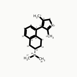 CC1=NCC(C)=C1c1cccc2c1CC[C@H](N(C)C)C2